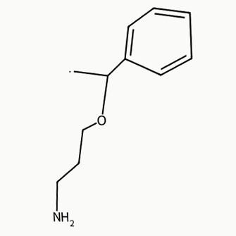 [CH2]C(OCCCN)c1ccccc1